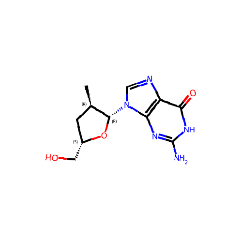 C[C@@H]1C[C@@H](CO)O[C@H]1n1cnc2c(=O)[nH]c(N)nc21